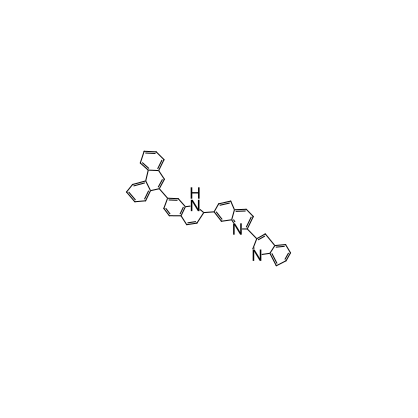 C1=CC(c2ccc3ccc(-c4cnc5ccccc5c4)nc3c2)Nc2cc(-c3cc4ccccc4c4ccccc34)ccc21